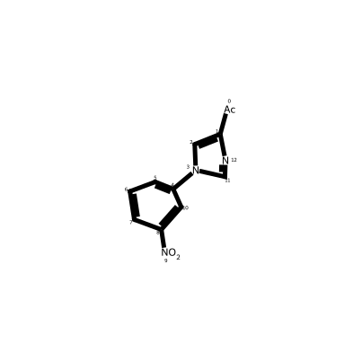 CC(=O)c1cn(-c2cccc([N+](=O)[O-])c2)cn1